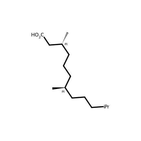 CC(C)CCC[C@@H](C)CCC[C@@H](C)CC(=O)O